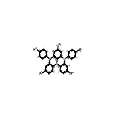 CC(C)c1ccc(N2c3cc(C(C)C)ccc3B3c4ccc(C(C)C)cc4N(c4ccc(C(C)C)cc4)c4cc(C(C)C)cc2c43)cc1